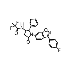 CC(F)(F)C(=O)NC1CC(=O)N(c2ccc3c(-c4ccc(F)cc4)noc3c2)[C@@H]1c1ccccc1